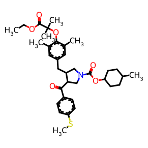 CCOC(=O)C(C)(C)Oc1c(C)cc(CC2CN(C(=O)OC3CCC(C)CC3)CC2C(=O)c2ccc(SC)cc2)cc1C